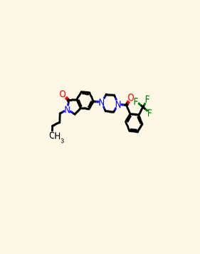 CCCCN1Cc2cc(N3CCN(C(=O)c4ccccc4C(F)(F)F)CC3)ccc2C1=O